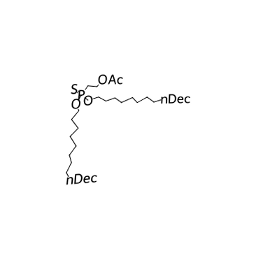 CCCCCCCCCCCCCCCCCCOP(=S)(CCOC(C)=O)OCCCCCCCCCCCCCCCCCC